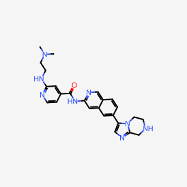 CN(C)CCNc1cc(C(=O)Nc2cc3cc(-c4cnc5n4CCNC5)ccc3cn2)ccn1